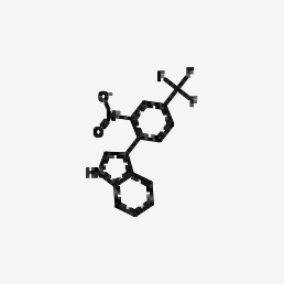 O=[N+]([O-])c1cc(C(F)(F)F)ccc1-c1c[nH]c2ccccc12